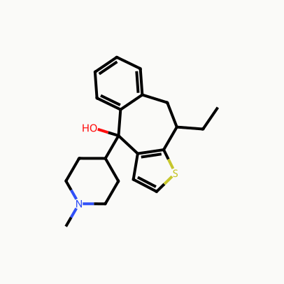 CCC1Cc2ccccc2C(O)(C2CCN(C)CC2)c2ccsc21